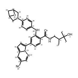 CC(C)(O)C(F)CNC(=O)c1cnc(-c2ccc3cc(C#N)cnn23)cc1Nc1cnc(N2CC3CC(C2)O3)nc1